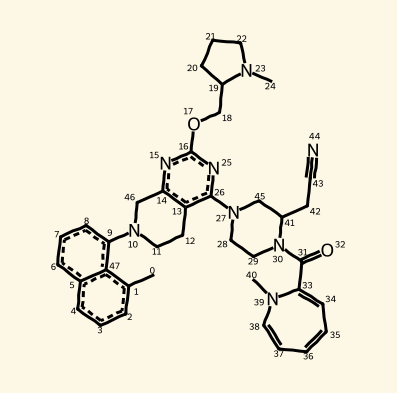 Cc1cccc2cccc(N3CCc4c(nc(OCC5CCCN5C)nc4N4CCN(C(=O)C5=CC=CC=CN5C)C(CC#N)C4)C3)c12